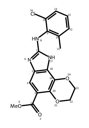 COC(=O)c1cc2nc(Nc3c(C)cccc3Cl)[nH]c2c2c1OCCO2